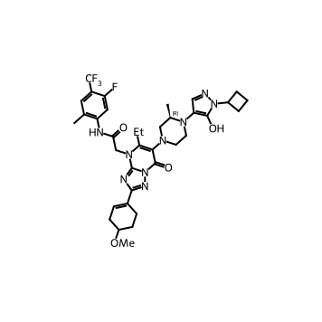 CCc1c(N2CCN(c3cnn(C4CCC4)c3O)[C@H](C)C2)c(=O)n2nc(C3=CCC(OC)CC3)nc2n1CC(=O)Nc1cc(F)c(C(F)(F)F)cc1C